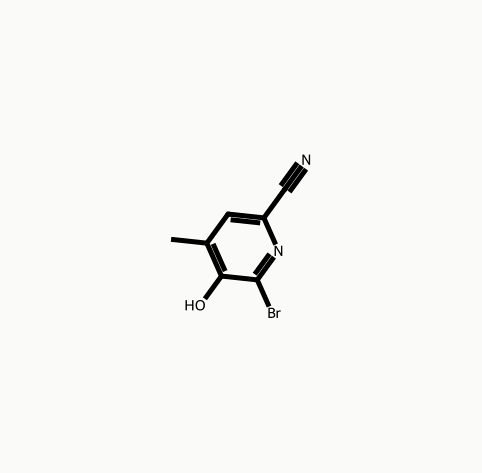 Cc1cc(C#N)nc(Br)c1O